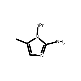 CCCn1c(C)cnc1N